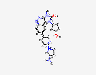 CO[C@H]1CC[C@H](n2c(=O)n(C)c3nnc4ccc(-c5ccc(N6CC[C@@H](N(C)C)C6)nc5)cc4c32)C1